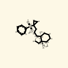 C[C@H](CC1(S(=O)(=O)c2ccccc2)CC1)[C@H]1CC[C@H]2[C@@H](C)CCC[C@]12C